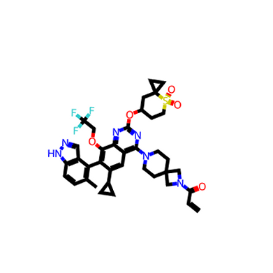 C=CC(=O)N1CC2(CCN(c3nc(OC4CCS(=O)(=O)C5(CC5)C4)nc4c(OCC(F)(F)F)c(-c5c(C)ccc6[nH]ncc56)c(C5CC5)cc34)CC2)C1